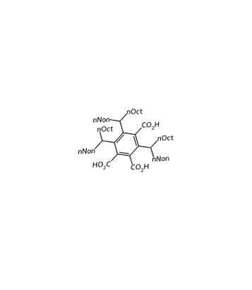 CCCCCCCCCC(CCCCCCCC)c1c(C(=O)O)c(C(=O)O)c(C(CCCCCCCC)CCCCCCCCC)c(C(CCCCCCCC)CCCCCCCCC)c1C(=O)O